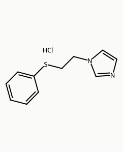 Cl.c1ccc(SCCn2ccnc2)cc1